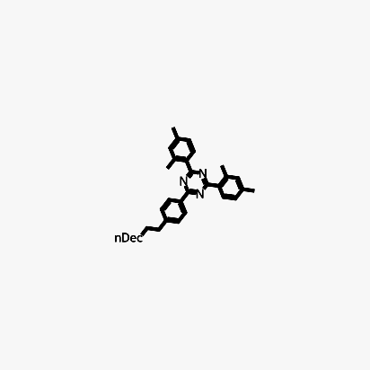 CCCCCCCCCCCCc1ccc(-c2nc(-c3ccc(C)cc3C)nc(-c3ccc(C)cc3C)n2)cc1